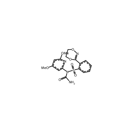 COc1cc(OC)nc(N(C(N)=O)S(=O)(=O)c2ccccc2C2=NOCCO2)c1